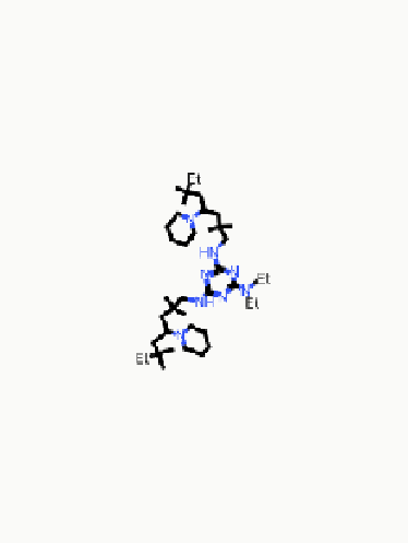 CCN(CC)c1nc(NCC(C)(C)CC(CC(C)(C)CC)N2CCCCC2)nc(NCC(C)(C)CC(CC(C)(C)CC)N2CCCCC2)n1